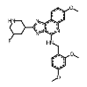 COc1ccc(CNc2nc3cc(OC)ccc3c3nc(C4CNCC(F)C4)nn23)c(OC)c1